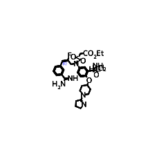 CCOC(=O)CS(=O)(=O)N(C/C(F)=C\c1cccc(C(=N)N)c1)c1ccc(OC2CCN(C3=NCCC3)CC2)c(C(N)=O)c1.Cl.Cl